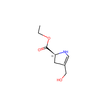 CCOC(=O)[C@@H]1CC(CO)=CN1